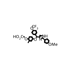 COc1ccc(-c2nc(C(Oc3ccc(OCC(=O)O)c(C)c3)c3ccc(OC(F)(F)F)cc3)c[nH]2)cc1